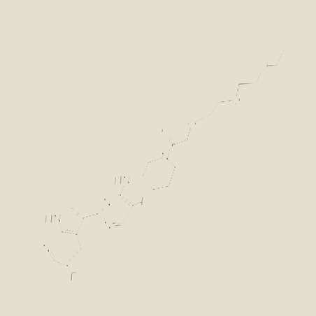 CCOCCOCCOCC(=O)N1CCC[C@H](Nc2nc(-c3c[nH]c4ncc(F)cc34)ncc2F)C1